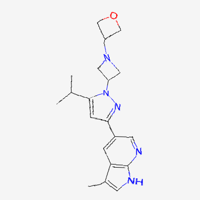 Cc1c[nH]c2ncc(-c3cc(C(C)C)n(C4CN(C5COC5)C4)n3)cc12